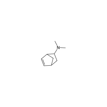 CN(C)C1CC2C=CC1C2